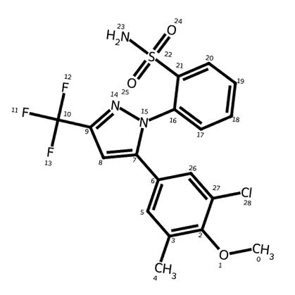 COc1c(C)cc(-c2cc(C(F)(F)F)nn2-c2ccccc2S(N)(=O)=O)cc1Cl